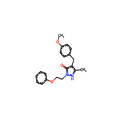 COc1ccc(Cc2c(C)[nH]n(CCOc3ccccc3)c2=O)cc1